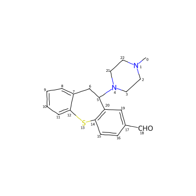 CN1CCN(C2Cc3ccccc3Sc3ccc(C=O)cc32)CC1